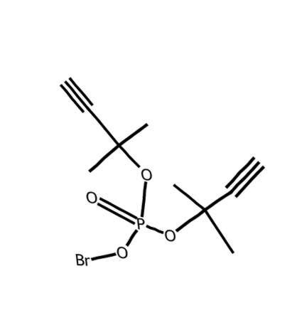 C#CC(C)(C)OP(=O)(OBr)OC(C)(C)C#C